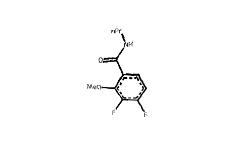 CCCNC(=O)c1ccc(F)c(F)c1OC